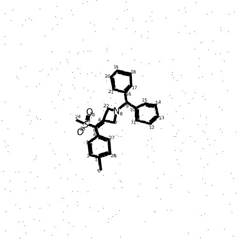 Cc1ccc(C(=C2CN(C(c3ccccc3)c3ccccc3)C2)S(C)(=O)=O)cc1